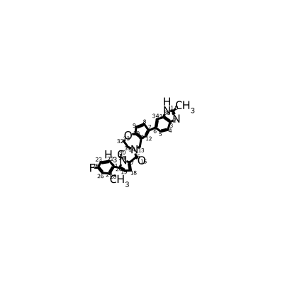 Cc1nc2ccc(-c3ccc4c(c3)CN(C(=O)c3ccc(-c5ccc(F)cc5C)n3C)CCO4)cc2[nH]1